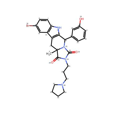 CC12Cc3c([nH]c4ccc(Br)cc34)C(c3cccc(O)c3)N1C(=O)N(CCCN1CCCC1)C2=O